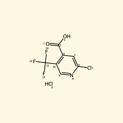 Cl.O=C(O)c1cc(Cl)ncc1C(F)(F)F